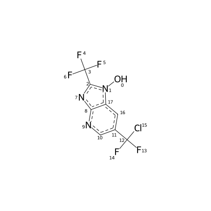 On1c(C(F)(F)F)nc2ncc(C(F)(F)Cl)cc21